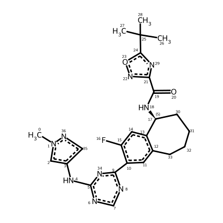 Cn1cc(Nc2ncnc(-c3cc4c(cc3F)[C@@H](NC(=O)c3noc(C(C)(C)C)n3)CCCC4)n2)cn1